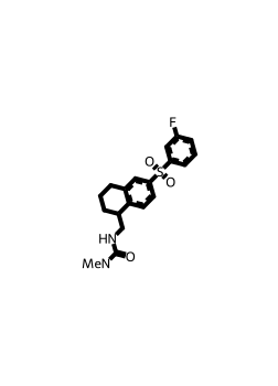 CNC(=O)NCC1CCCc2cc(S(=O)(=O)c3cccc(F)c3)ccc21